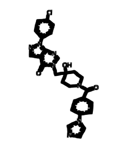 O=C(c1ccc(-n2ccnc2)cc1)N1CCC(O)(Cn2cnc3c(cnn3-c3ccc(Cl)cc3)c2=O)CC1